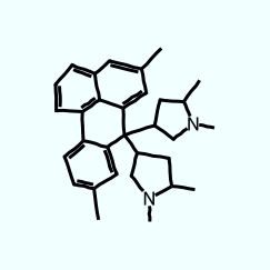 Cc1ccc2c(c1)C(C1CC(C)N(C)C1)(C1CC(C)N(C)C1)c1cc(C)cc3cccc-2c13